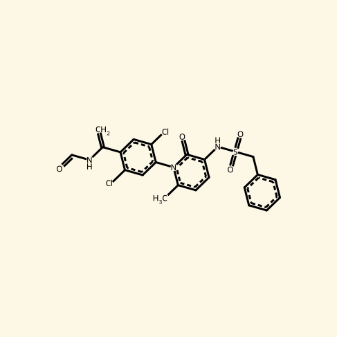 C=C(NC=O)c1cc(Cl)c(-n2c(C)ccc(NS(=O)(=O)Cc3ccccc3)c2=O)cc1Cl